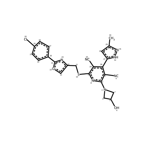 [C-]#[N+]c1c(N2CC(O)C2)nc(SCc2coc(-c3ccc(Cl)cc3)n2)c(C#N)c1-c1cc(C)n[nH]1